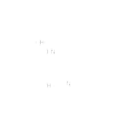 CN1CCc2cccc(NC=O)c21